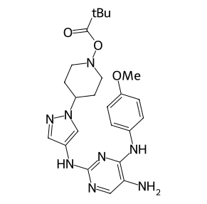 COc1ccc(Nc2nc(Nc3cnn(C4CCN(OC(=O)C(C)(C)C)CC4)c3)ncc2N)cc1